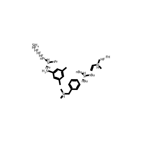 C=C[SiH](C)C.CCCC[SiH](CCCC)CCCC.CCC[SiH](CCC)CCC.C[SiH](C)Cc1ccccc1.Cc1cc(C)cc([SiH3])c1.F.F.F.F.F.F.[SiH4]